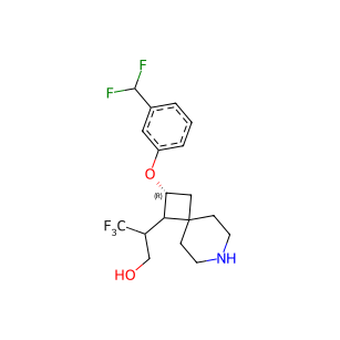 OCC(C1[C@H](Oc2cccc(C(F)F)c2)CC12CCNCC2)C(F)(F)F